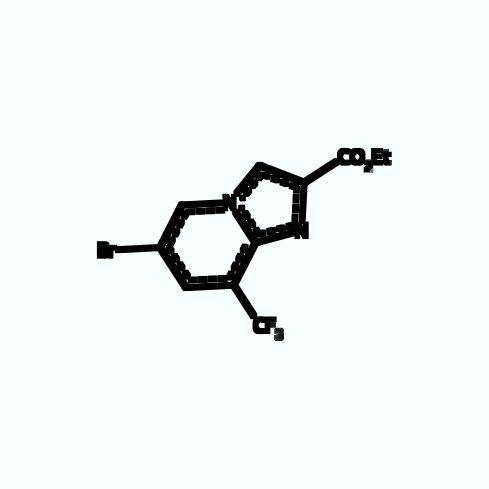 CCOC(=O)c1cn2cc(Br)cc(C(F)(F)F)c2n1